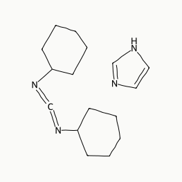 C(=NC1CCCCC1)=NC1CCCCC1.c1c[nH]cn1